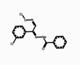 CCO/N=C\C(=N/NC(=O)c1ccccc1)c1cccc(Cl)c1